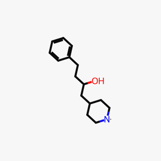 OC(CCc1ccccc1)CC1CC[N]CC1